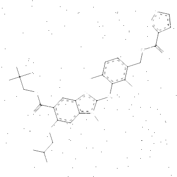 Cn1c(Nc2c(Cl)ccc(CNC(=O)c3ccno3)c2Cl)nc2cc(C(=O)NCC(F)(F)F)c(OCC(F)F)cc21